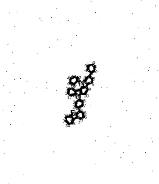 c1ccc(-c2ccc3c4ccc5c(c6ccccc6n5-c5ccc(-c6cccc7c6sc6ccccc67)cc5)c4n(-c4ccccc4)c3c2)cc1